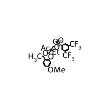 CCC(COS(=O)(=O)c1cc(C(F)(F)F)cc(C(F)(F)F)c1)(C(C)=O)C(=O)OC(C)c1ccc(OC)cc1